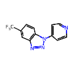 FC(F)(F)c1ccc2c(c1)nnn2-c1ccncc1